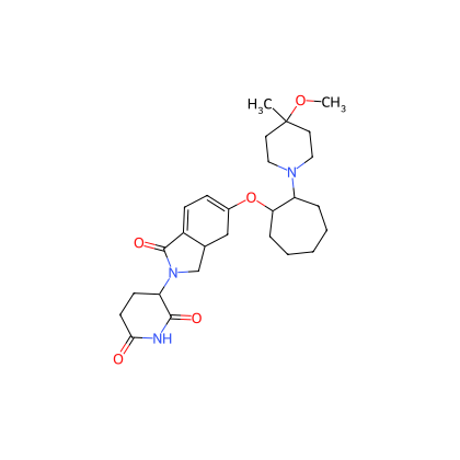 COC1(C)CCN(C2CCCCCC2OC2=CC=C3C(=O)N(C4CCC(=O)NC4=O)CC3C2)CC1